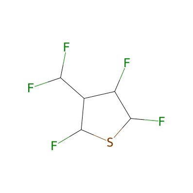 FC(F)C1C(F)SC(F)C1F